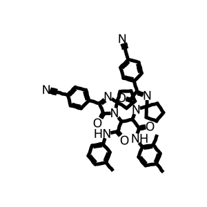 Cc1cccc(NC(=O)C(C(C(=O)Nc2ccc(C)cc2C)N2C(=O)C(c3ccc(C#N)cc3)=NC23CCCC3)N2C(=O)C(c3ccc(C#N)cc3)=NC23CCCC3)c1